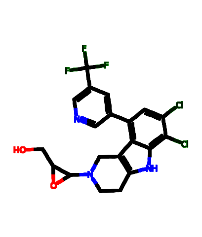 OCC1OC1N1CCc2[nH]c3c(Cl)c(Cl)cc(-c4cncc(C(F)(F)F)c4)c3c2C1